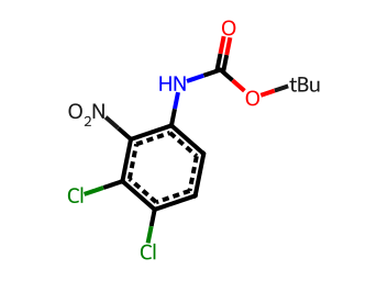 CC(C)(C)OC(=O)Nc1ccc(Cl)c(Cl)c1[N+](=O)[O-]